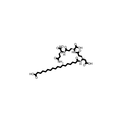 NC(=O)CC[C@H](NC(=O)CC[C@H](NC(=O)CC[C@@H](CC(=O)O)NC(=O)CCCCCCCCCCCCCCCCC(=O)O)C(=O)O)C(=O)O